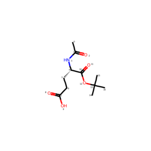 CC(=O)N[C@@H](CCC(=O)O)C(=O)OC(C)(C)C